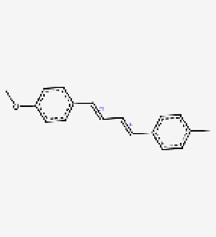 COc1ccc(/C=C/C=C/c2ccc(C)cc2)cc1